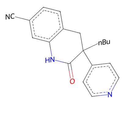 CCCCC1(c2ccncc2)Cc2ccc(C#N)cc2NC1=O